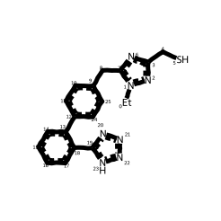 CCn1nc(CS)nc1Cc1ccc(-c2ccccc2-c2nnn[nH]2)cc1